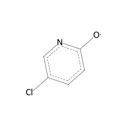 [O]c1ccc(Cl)cn1